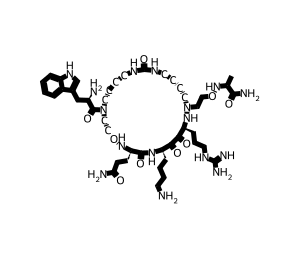 CC(NOCCN1CCCCNC(=O)NCCCCN(C(=O)[C@@H](N)Cc2c[nH]c3ccccc23)CCON[C@@H](CCC(N)=O)C(=O)N[C@@H](CCCCN)C(=O)C(=O)[C@H](CCCNC(=N)N)N1)C(N)=O